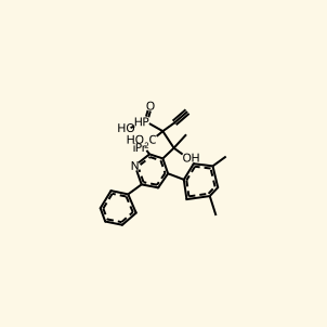 C#CC(C(=O)O)([PH](=O)O)C(C)(O)c1c(-c2cc(C)cc(C)c2)cc(-c2ccccc2)nc1C(C)C